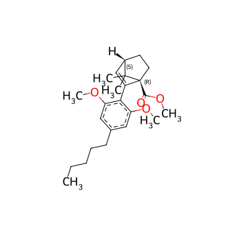 CCCCCc1cc(OC)c(C2=C[C@@H]3CC[C@@]2(C(=O)OC)C3(C)C)c(OC)c1